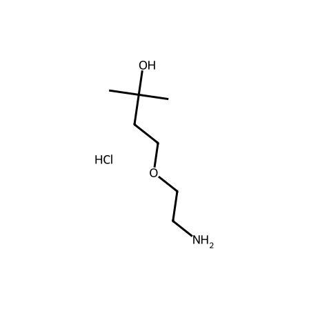 CC(C)(O)CCOCCN.Cl